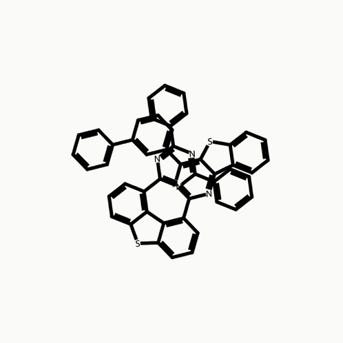 c1ccc(-c2cccc(-c3nc(-c4cccc5sc6cccc(-c7nc(-c8ccccc8)nc(-c8ccccc8)n7)c6c45)nc4c3sc3ccccc34)c2)cc1